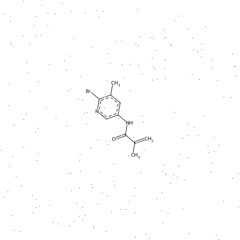 C=C(C)C(=O)Nc1cnc(Br)c(C)c1